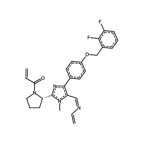 C=C/N=C\c1c(-c2ccc(OCc3cccc(F)c3F)cc2)nc([C@@H]2CCCN2C(=O)C=C)n1C